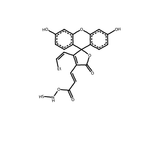 CC/C=C\C1=C(/C=C/C(=O)ONS)C(=O)OC12c1ccc(O)cc1Oc1cc(O)ccc12